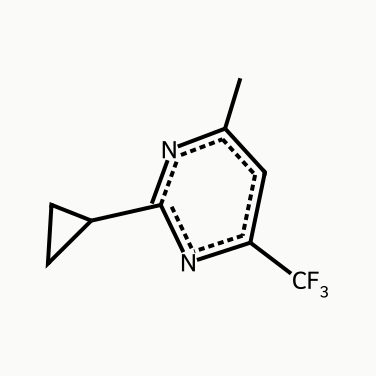 Cc1cc(C(F)(F)F)nc(C2CC2)n1